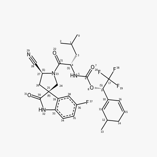 CC(C)C[C@H](NC(=O)O[C@@H](C1=CC(C)CC=C1)C(F)(F)F)C(=O)N1C[C@]2(C[C@H]1C#N)C(=O)Nc1ccc(F)cc12